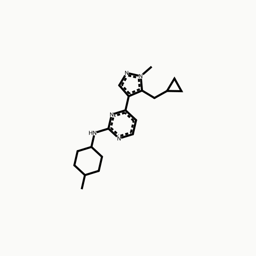 CC1CCC(Nc2nccc(-c3cnn(C)c3CC3CC3)n2)CC1